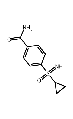 N=S(=O)(c1ccc(C(N)=O)cc1)C1CC1